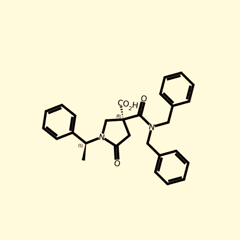 C[C@@H](c1ccccc1)N1C[C@@](C(=O)O)(C(=O)N(Cc2ccccc2)Cc2ccccc2)CC1=O